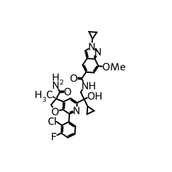 COc1cc(C(=O)NCC(O)(c2cc3c(c(-c4cccc(F)c4Cl)n2)OC[C@]3(C)C(N)=O)C2CC2)cc2cn(C3CC3)nc12